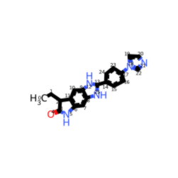 CCC1C(=O)Nc2cc3c(cc21)NC(c1ccc(-n2ccnc2)cc1)N3